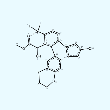 COC(=O)C(O)c1c(C(F)(F)F)ccc(-n2cc(Cl)cn2)c1-c1ccc2c(c1)CCCO2